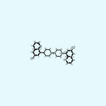 Clc1cc(C2CCN(N3CCN(c4cc(Cl)cc5cccnc45)CC3)CC2)c2ncccc2c1